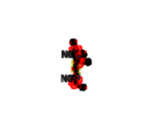 CC1=C(C#N)C(=O)C(C(=O)OCc2ccccc2)C(=O)/C1=N/c1cc2sc3c4sc5c(c4sc3c2s1)C(C(=O)OCc1ccccc1)(C(=O)OCc1ccccc1)C(/N=C1/C(=O)N(C(=O)OCc2ccccc2)C(=O)C(C#N)=C1C)=C5